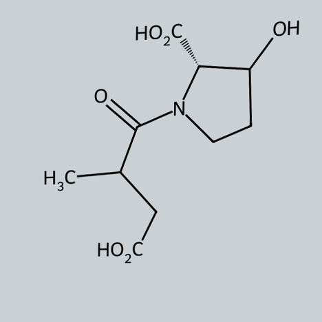 CC(CC(=O)O)C(=O)N1CCC(O)[C@H]1C(=O)O